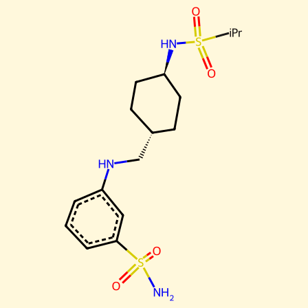 CC(C)S(=O)(=O)N[C@H]1CC[C@H](CNc2cccc(S(N)(=O)=O)c2)CC1